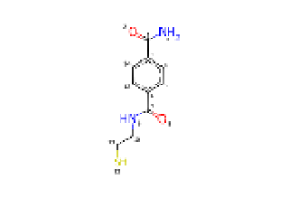 NC(=O)c1ccc(C(=O)NCCS)cc1